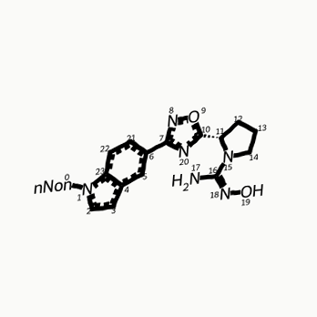 CCCCCCCCCn1ccc2cc(-c3noc([C@@H]4CCCN4/C(N)=N\O)n3)ccc21